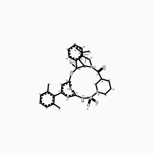 Cc1cccc(C)c1-c1cc2nc(n1)NS(=O)(=O)N1CCCC(C1)C(=O)N1Cc3ccccc3[C@@H](O2)[C@H]1CC(C)C